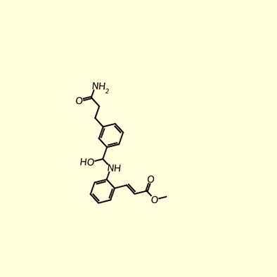 COC(=O)/C=C/c1ccccc1NC(O)c1cccc(CCC(N)=O)c1